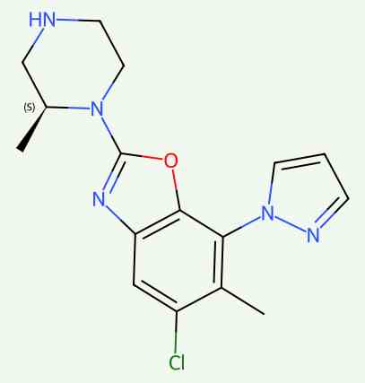 Cc1c(Cl)cc2nc(N3CCNC[C@@H]3C)oc2c1-n1cccn1